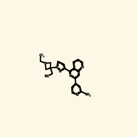 N#CCC1(n2ccc(-c3nc(-c4ccnc(N)c4)cc4ncccc34)n2)CN(CC(F)(F)F)C1